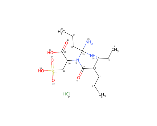 CCCC(CCC)C(=O)N(C(CS(=O)(=O)O)C(=O)O)C(N)(N)CCC.Cl